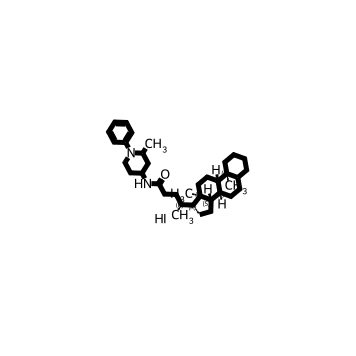 CC1CC(NC(=O)CC[C@@H](C)[C@H]2CC[C@H]3[C@@H]4CCC5CCCC[C@]5(C)[C@H]4CC[C@]23C)CCN1c1ccccc1.I